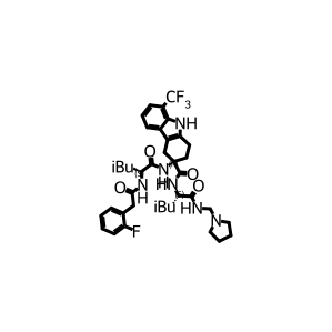 CCC(C)[C@H](NC(=O)Cc1ccccc1F)C(=O)N[C@]1(C(=O)N[C@H](C(=O)NCN2CCCC2)C(C)CC)CCc2[nH]c3c(C(F)(F)F)cccc3c2C1